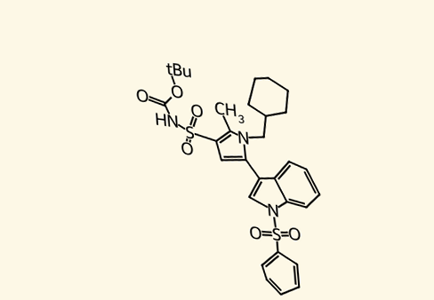 Cc1c(S(=O)(=O)NC(=O)OC(C)(C)C)cc(-c2cn(S(=O)(=O)c3ccccc3)c3ccccc23)n1CC1CCCCC1